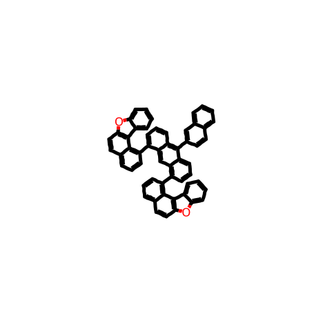 c1ccc2cc(-c3c4cccc(-c5cccc6ccc7oc8ccccc8c7c56)c4cc4c(-c5cccc6ccc7oc8ccccc8c7c56)cccc34)ccc2c1